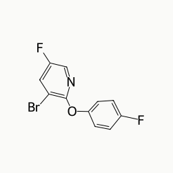 Fc1ccc(Oc2ncc(F)cc2Br)cc1